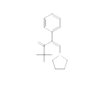 O=C(/C(=C\N1CCCC1)c1ccccc1)C(F)(F)F